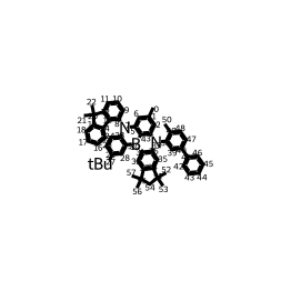 Cc1cc2c3c(c1)N(c1cccc4c1-c1ccccc1C4(C)C)c1ccc(C(C)(C)C)cc1B3c1cc3c(cc1N2c1cc(-c2ccccc2)ccc1C)C(C)(C)CC3(C)C